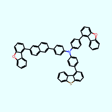 c1ccc2c(c1)oc1cccc(-c3ccc(N(c4ccc(-c5ccc6cc(-c7cccc8oc9ccccc9c78)ccc6c5)cc4)c4ccc(-c5cccc6sc7ccccc7c56)cc4)cc3)c12